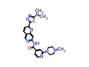 CN1CCN(c2cc(C(=O)Nc3cc4nc(-c5nnc(N(C)C)s5)ccc4cn3)ccn2)CC1